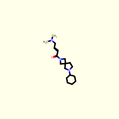 CN(C)C/C=C/C(=O)N1CC2(CCN(C3CCCCC3)C2)C1